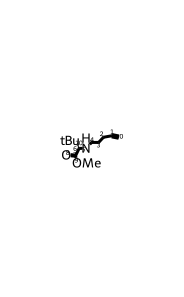 C#CCCCN[C@H](C(=O)OC)C(C)(C)C